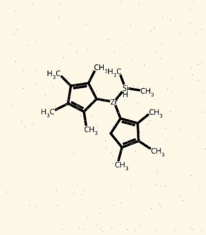 CC1=C(C)C(C)=[C]([Zr]([CH]2C(C)=C(C)C(C)=C2C)[SiH](C)C)C1